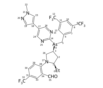 CC[C@@H]1C[C@H]([As](Cc2cc(C(F)(F)F)cc(C(F)(F)F)c2)c2ncc(-c3cnn(C)c3)cn2)CN1c1ccc(C(F)(F)F)cc1C=O